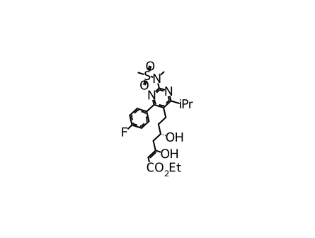 CCOC(=O)C=C(O)C[C@@H](O)CCc1c(-c2ccc(F)cc2)nc(N(C)S(C)(=O)=O)nc1C(C)C